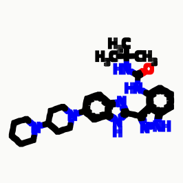 CC(C)(C)NC(=O)Nc1cccc2[nH]nc(-c3nc4ccc(N5CCC(N6CCCCC6)CC5)cc4[nH]3)c12